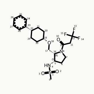 CS(=O)(=O)N[C@H]1CCN(C(=O)CC(F)(F)F)[C@H]1CO[C@H]1CC[C@@H](c2ccccc2)CC1